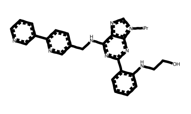 CC(C)n1cnc2c(NCc3ccc(-c4cccnc4)nc3)nc(-c3ccccc3NCCO)nc21